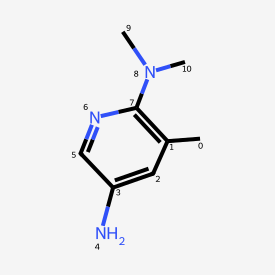 Cc1cc(N)cnc1N(C)C